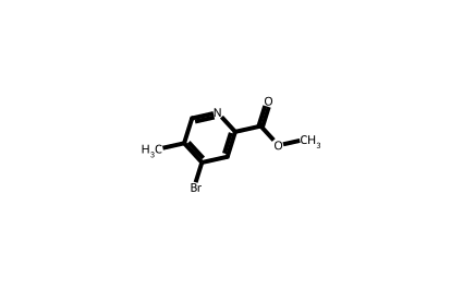 COC(=O)c1cc(Br)c(C)cn1